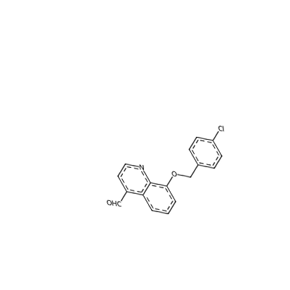 O=Cc1ccnc2c(OCc3ccc(Cl)cc3)cccc12